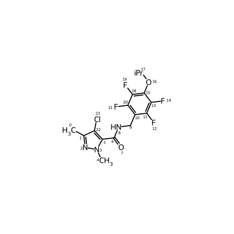 Cc1nn(C)c(C(=O)NCc2c(F)c(F)c(OC(C)C)c(F)c2F)c1Cl